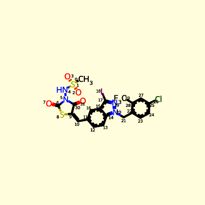 CS(=O)(=O)NN1C(=O)SC(=Cc2ccc3c(c2)c(I)nn3Cc2ccc(Cl)cc2C(F)(F)F)C1=O